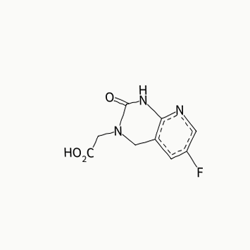 O=C(O)CN1Cc2cc(F)cnc2NC1=O